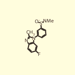 CN[S+]([O-])c1cccc(-n2c(C)nc3ccc(F)cc32)c1